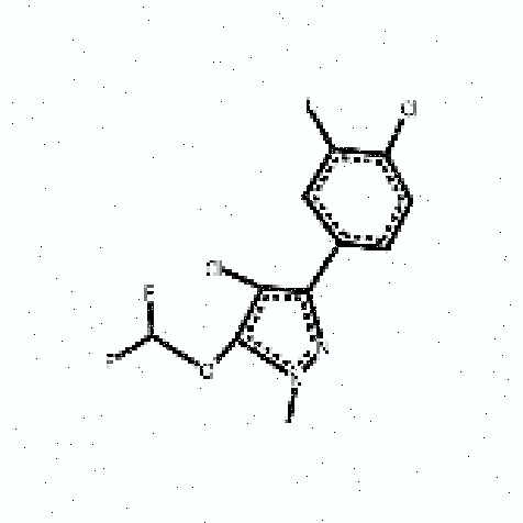 Cn1nc(-c2ccc(Cl)c(I)c2)c(Cl)c1OC(F)F